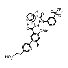 COc1cc(F)c(-c2ccc(CCC(=O)O)cn2)cc1C(=O)N[C@@H]1[C@H]2CC[C@H](C2)[C@@H]1C(=O)Nc1cccc(S(=O)(=O)C(F)(F)F)c1